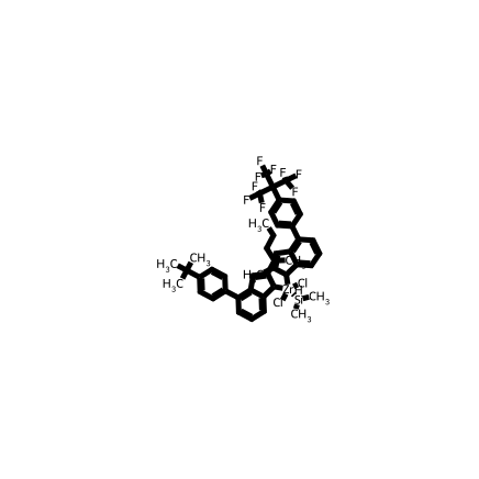 CCCC(C)C1=Cc2c(-c3ccc(C(C)(C)C)cc3)cccc2[CH]1[Zr]([Cl])([Cl])([CH]1C(C)=Cc2c(-c3ccc(C(C(F)(F)F)(C(F)(F)F)C(F)(F)F)cc3)cccc21)[SiH](C)C